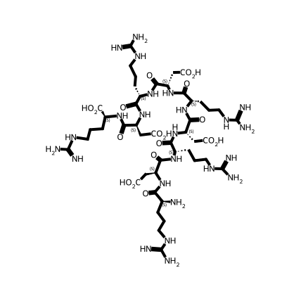 N=C(N)NCCC[C@H](NC(=O)[C@H](CC(=O)O)NC(=O)[C@H](CCCNC(=N)N)NC(=O)[C@H](CC(=O)O)NC(=O)[C@H](CCCNC(=N)N)NC(=O)[C@H](CC(=O)O)NC(=O)[C@H](CCCNC(=N)N)NC(=O)[C@H](CC(=O)O)NC(=O)[C@@H](N)CCCNC(=N)N)C(=O)O